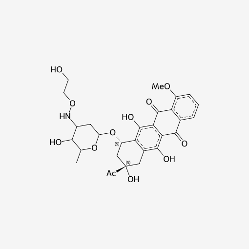 COc1cccc2c1C(=O)c1c(O)c3c(c(O)c1C2=O)C[C@@](O)(C(C)=O)C[C@@H]3OC1CC(NOCCO)C(O)C(C)O1